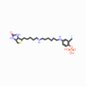 O=C1NC2CSC(CCCCCNCCCCCCNc3ccc(OP(=O)(O)O)c(CF)c3)C2N1